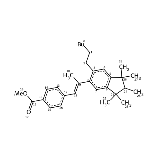 CCC(C)CCc1cc2c(cc1/C(C)=C/c1ccc(C(=O)OC)cc1)C(C)(C)C(C)C2(C)C